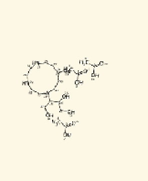 CC(=O)O.CC(=O)O.CC(=O)O.OCC(O)C(CO)N1CCNCCNCC[N]([Gd])CC1